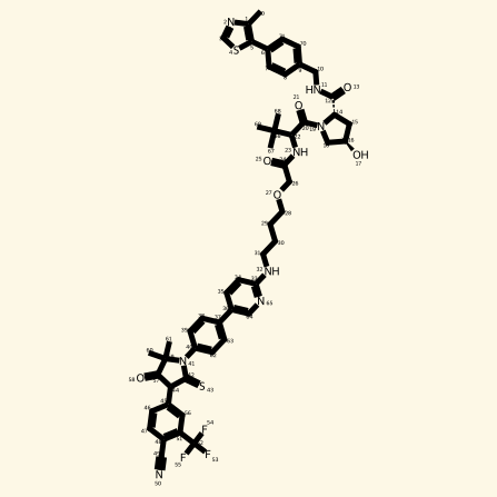 Cc1ncsc1-c1ccc(CNC(=O)[C@@H]2C[C@@H](O)CN2C(=O)C(NC(=O)COCCCCNc2ccc(-c3ccc(N4C(=S)C(c5ccc(C#N)c(C(F)(F)F)c5)C(=O)C4(C)C)cc3)cn2)C(C)(C)C)cc1